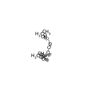 CC(C)OC(=O)N1CCC(CCOc2ccc(-c3ccc(CC(NC(=O)OC(C)(C)C)C(=O)N4CCCC4)c(F)c3)cc2)CC1